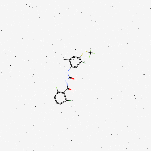 Cc1cc(SC(F)(F)F)c(Cl)cc1NC(=O)NC(=O)c1c(F)cccc1Cl